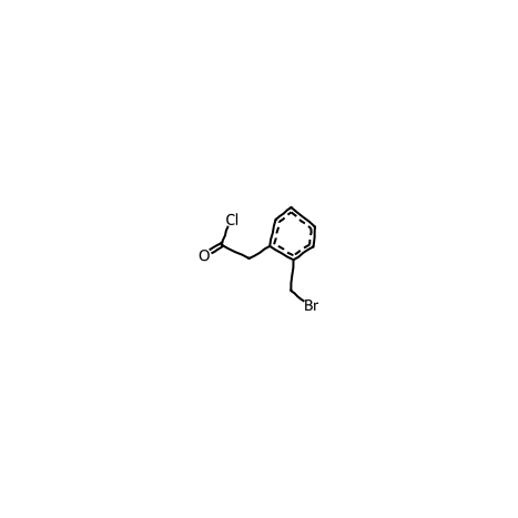 O=C(Cl)Cc1ccccc1CBr